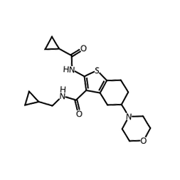 O=C(NCC1CC1)c1c(NC(=O)C2CC2)sc2c1CC(N1CCOCC1)CC2